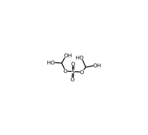 O=S(=O)(OC(O)O)OC(O)O